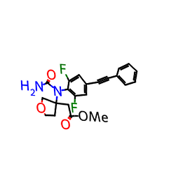 COC(=O)CC1(N(C(N)=O)c2c(F)cc(C#Cc3ccccc3)cc2F)CCOC1